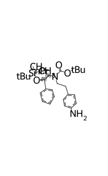 CCC[C@H]([C@H](O[Si](C)(C)C(C)(C)C)c1ccccc1)N(CCc1ccc(N)cc1)C(=O)OC(C)(C)C